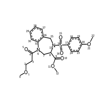 COCCC(=O)N1CC(C(=O)OC)N(S(=O)(=O)c2ccc(OC)cc2)Cc2ccccc21